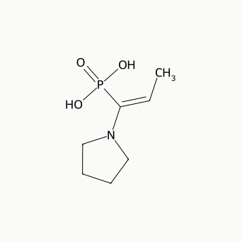 CC=C(N1CCCC1)P(=O)(O)O